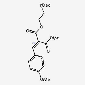 CCCCCCCCCCCCOC(=O)/C(=C/c1ccc(OC)cc1)C(=O)OC